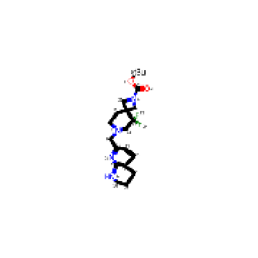 CC(C)(C)OC(=O)N1CC2(CCN(Cc3ccc4c(n3)NCCC4)CC2(F)F)C1